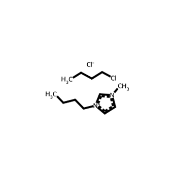 CCCCCl.CCCC[n+]1ccn(C)c1.[Cl-]